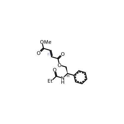 CCC(=O)N[C@@H](COC(=O)/C=C/C(=O)OC)c1ccccc1